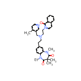 CCN1C(=O)C(C)(C)C(=O)N(C)c2cc(CCN(CCn3ccc4ccccc4c3=O)Cc3cnccc3C)ccc21